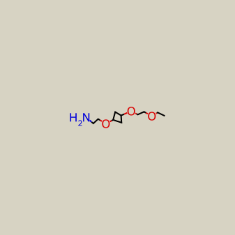 CCOCCOC1CC(OCCN)C1